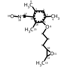 Cc1cc(C)c(OCCCC2OC2C)c(C)c1C#[N+][O-]